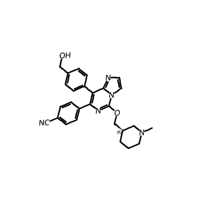 CN1CCC[C@@H](COc2nc(-c3ccc(C#N)cc3)c(-c3ccc(CO)cc3)c3nccn23)C1